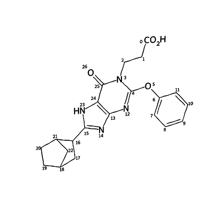 O=C(O)CCn1c(Oc2ccccc2)nc2nc(C3CC4CCC3C4)[nH]c2c1=O